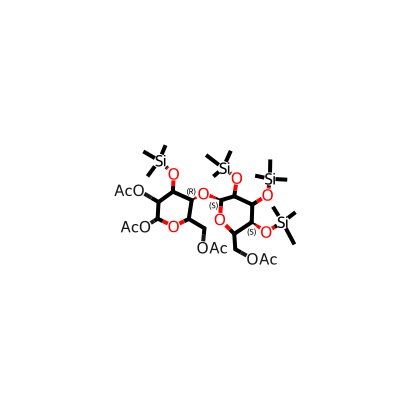 CC(=O)OCC1OC(OC(C)=O)C(OC(C)=O)C(O[Si](C)(C)C)[C@@H]1O[C@@H]1OC(COC(C)=O)[C@H](O[Si](C)(C)C)C(O[Si](C)(C)C)C1O[Si](C)(C)C